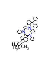 CC(C)(C)c1cc2ccc3c4cc(c5ccc(c1)c2c35)N(c1ccccc1)c1cccc(c1)N(c1c2ccccc2c(-c2ccccc2)c2ccccc12)c1cccc(c1)N4c1ccccc1